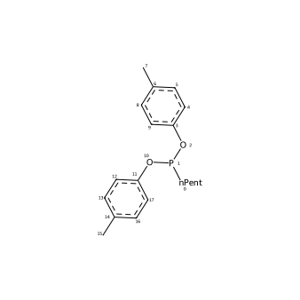 CCCCCP(Oc1ccc(C)cc1)Oc1ccc(C)cc1